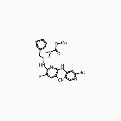 CCc1cc(Nc2nc(N[C@@H](CNC(=O)OC(C)(C)C)Cc3ccccc3)c(F)cc2C#N)ccn1